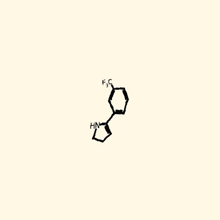 FC(F)(F)c1cccc(C2=CCCN2)c1